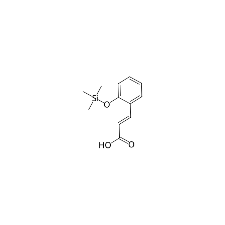 C[Si](C)(C)Oc1ccccc1/C=C/C(=O)O